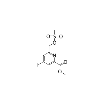 COC(=O)c1cc(I)cc(COS(C)(=O)=O)n1